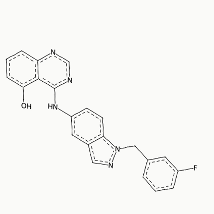 Oc1cccc2ncnc(Nc3ccc4c(cnn4Cc4cccc(F)c4)c3)c12